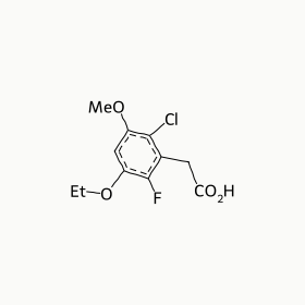 CCOc1cc(OC)c(Cl)c(CC(=O)O)c1F